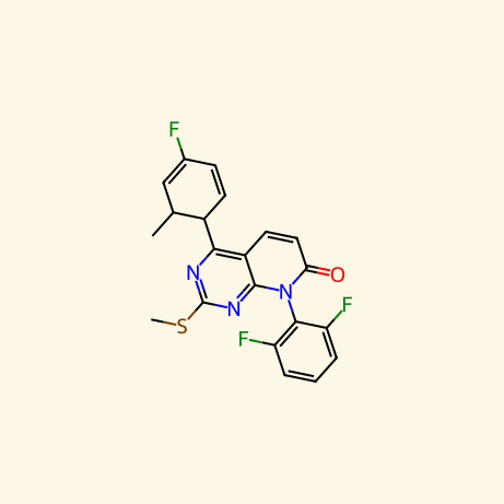 CSc1nc(C2C=CC(F)=CC2C)c2ccc(=O)n(-c3c(F)cccc3F)c2n1